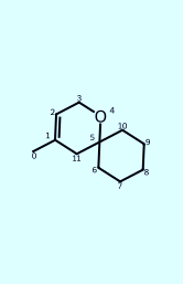 CC1=CCOC2(CCCCC2)C1